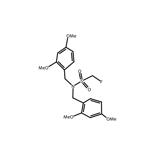 COc1ccc(CN(Cc2ccc(OC)cc2OC)S(=O)(=O)CF)c(OC)c1